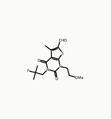 COCCn1c(=O)n(CC(C)(C)F)c(=O)c2c(C)c(C=O)sc21